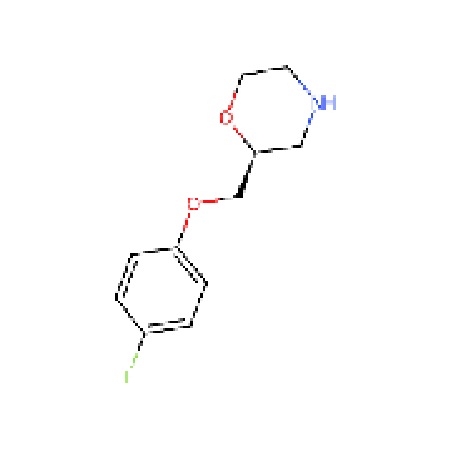 Fc1ccc(OC[C@@H]2CNCCO2)cc1